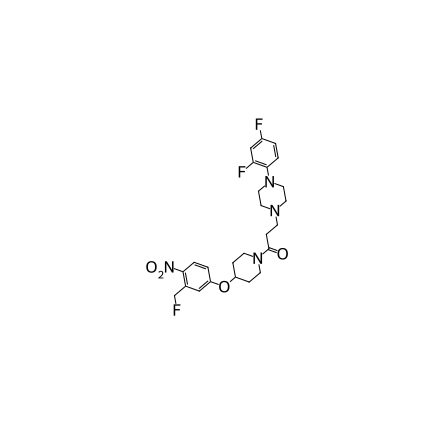 O=C(CCN1CCN(c2ccc(F)cc2F)CC1)N1CCC(Oc2ccc([N+](=O)[O-])c(CF)c2)CC1